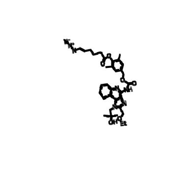 CCOCc1nc2c(NC(=O)OCc3cc(C)c(OC(=O)CCCCCN=[N+]=[N-])c(C)c3)nc3ccccc3c2n1CC(C)(C)O